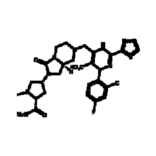 COC(=O)[C@H]1C[C@H](N2C[C@@H]3CN(CC4=C(C(=O)O)C(c5ccc(F)cc5Cl)N=C(c5nccs5)N4)CCN3C2=O)CN1C